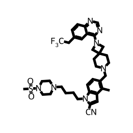 Cc1c(CN2CCC3(CC2)CN(c2ncnc4ccc(CC(F)(F)F)cc24)C3)ccc2c1cc(C#N)n2CCCCN1CCN(S(C)(=O)=O)CC1